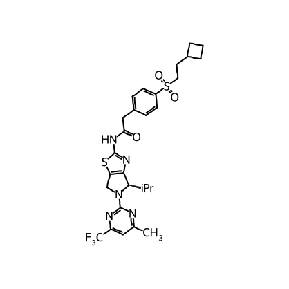 Cc1cc(C(F)(F)F)nc(N2Cc3sc(NC(=O)Cc4ccc(S(=O)(=O)CCC5CCC5)cc4)nc3[C@H]2C(C)C)n1